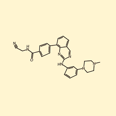 CN1CCN(c2cccc(Nc3ncc4cccc(-c5ccc(C(=O)NCC#N)cc5)c4n3)c2)CC1